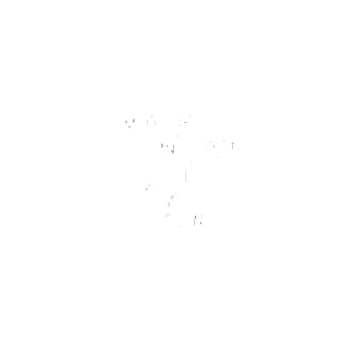 CCOC(=O)C1C/C(=C\C#N)CCN1C(=O)OC